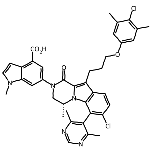 Cc1cc(OCCCc2c3n(c4c(-c5c(C)ncnc5C)c(Cl)ccc24)[C@H](C)CN(c2cc(C(=O)O)c4ccn(C)c4c2)C3=O)cc(C)c1Cl